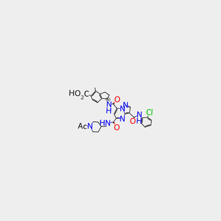 CC(=O)N1CCC(CNC(=O)c2cc(C(=O)N[C@H]3CCc4c3ccc(C(=O)O)c4C)n3ncc(C(=O)Nc4ccccc4Cl)c3n2)CC1